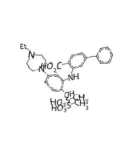 CCN1CCN(c2ccc(O)c(Nc3cc(-c4ccccc4)ccc3C(=O)O)c2)CC1.CS(=O)(=O)O.CS(=O)(=O)O